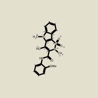 COc1ccccc1NC(=O)C1=C(O)c2c(c3ccccc3n2C)S(=O)(=O)N1C